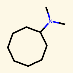 CN(C)C1CCCCCCC1